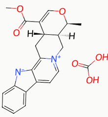 COC(=O)C1=CO[C@@H](C)[C@H]2C[n+]3ccc4c([n-]c5ccccc54)c3C[C@H]12.O=C(O)O